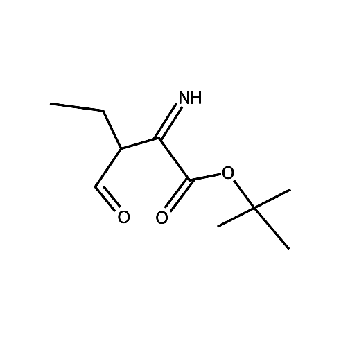 CCC(C=O)C(=N)C(=O)OC(C)(C)C